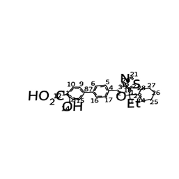 CCC(OCc1ccc(-c2ccc(C(=O)O)c(O)c2)cc1)(c1cncs1)C1CCCCC1